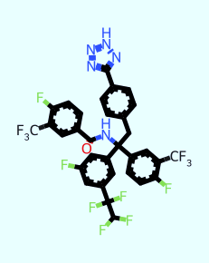 O=C(NC(Cc1ccc(-c2nn[nH]n2)cc1)(c1cc(F)cc(C(F)(F)C(F)F)c1)c1ccc(F)c(C(F)(F)F)c1)c1ccc(F)c(C(F)(F)F)c1